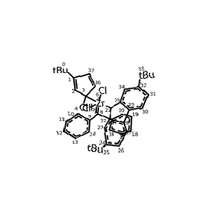 CC(C)(C)C1=C[C](C)([Zr]([Cl])([Cl])(=[C](c2ccccc2)c2ccccc2)[CH]2c3cc(C(C)(C)C)ccc3-c3ccc(C(C)(C)C)cc32)C=C1